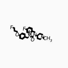 CN1CCC(N(Cc2ccc(F)cn2)C(=O)NCc2ccc(OCCCF)cc2)CC1